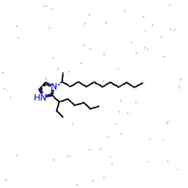 CCCCCCCCCCC(C)[n+]1cc[nH]c1C(CC)CCCCC